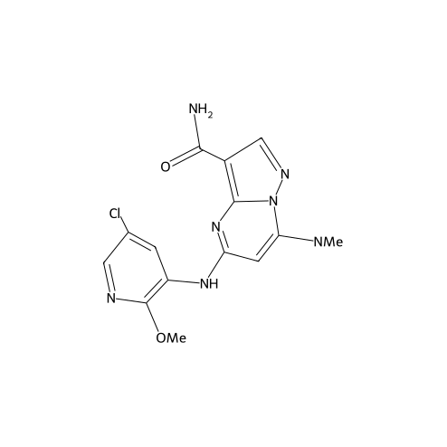 CNc1cc(Nc2cc(Cl)cnc2OC)nc2c(C(N)=O)cnn12